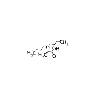 C=CC(=O)O.CCCCOCCCC